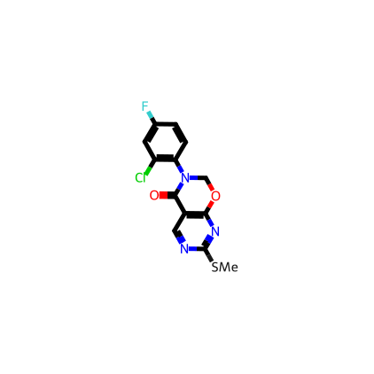 CSc1ncc2c(n1)OCN(c1ccc(F)cc1Cl)C2=O